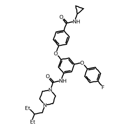 CCC(CC)CN1CCN(C(=O)Nc2cc(Oc3ccc(F)cc3)cc(Oc3ccc(C(=O)NC4CC4)cc3)c2)CC1